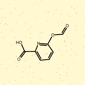 O=COc1cccc(C(=O)O)n1